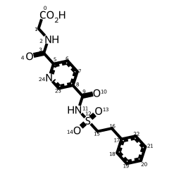 O=C(O)CNC(=O)c1ccc(C(=O)NS(=O)(=O)CCc2ccccc2)cn1